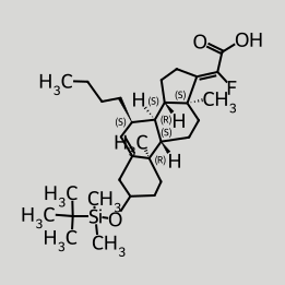 CCCC[C@@H]1C=C2CC(O[Si](C)(C)C(C)(C)C)CC[C@]2(C)[C@H]2CC[C@]3(C)C(=C(F)C(=O)O)CC[C@H]3[C@H]12